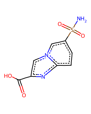 NS(=O)(=O)c1ccc2nc(C(=O)O)cn2c1